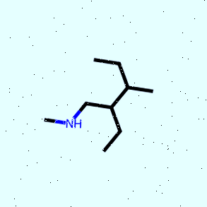 CCC(C)C(CC)CNC